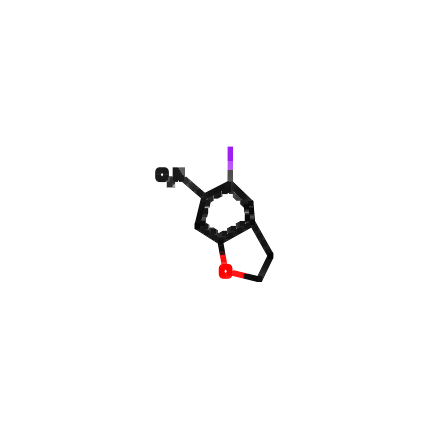 O=[N+]([O-])c1cc2c(cc1I)CCO2